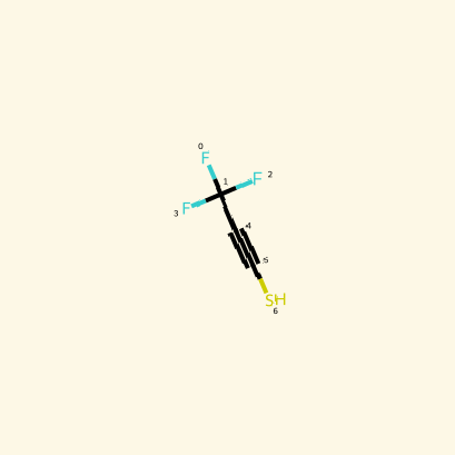 FC(F)(F)C#CS